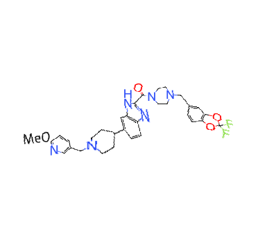 COc1ccc(CN2CCC(c3ccc4nc(C(=O)N5CCN(Cc6ccc7c(c6)OC(F)(F)O7)CC5)[nH]c4c3)CC2)cn1